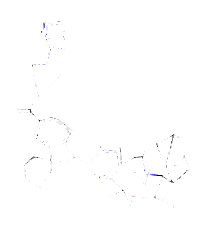 O=C(NC1(C(=O)O)C2CC3CC(C2)CC1C3)c1cnc(N2CC3(CCOCC3)c3cc(C(=O)N4CCN(c5ncccn5)CC4)ccc32)nc1C(F)(F)F